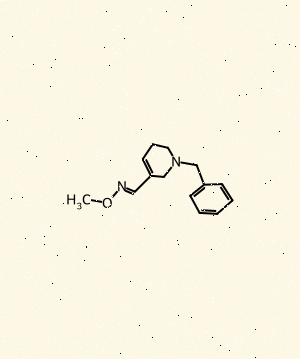 CON=CC1=CCCN(Cc2ccccc2)C1